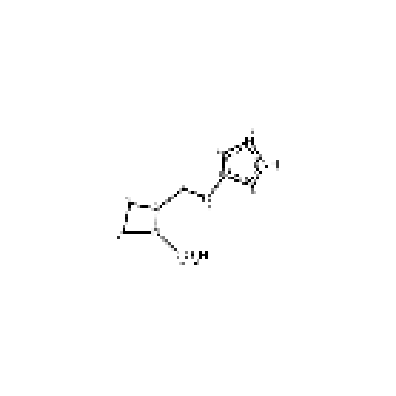 O=C(O)N1CCC1COc1cn[nH]c1